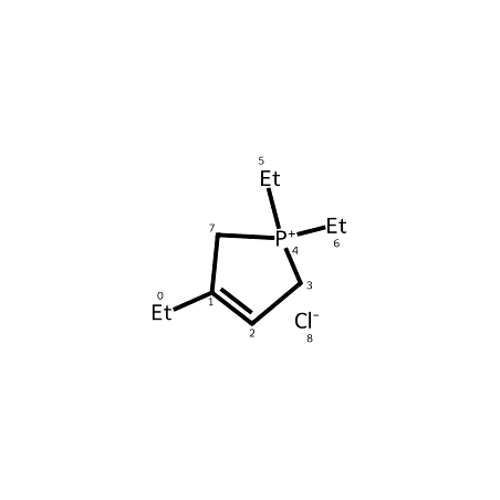 CCC1=CC[P+](CC)(CC)C1.[Cl-]